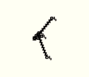 CCCCCCCCCCCCCCCCC1(CC)Oc2cscc2OC1(CC)CCCCCCCCCCCCCCCC